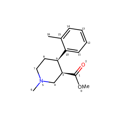 COC(=O)[C@H]1CN(C)CC[C@H]1c1ccccc1C